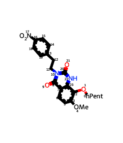 CCCCCOc1c(OC)ccc2c(=O)n(CCc3ccc([N+](=O)[O-])cc3)c(=O)[nH]c12